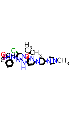 CC(C)Oc1nc(N2CCC(N3CCN(C)CC3)CC2)ccc1Nc1ncc(Cl)c(Nc2ccccc2P(C)(C)=O)n1